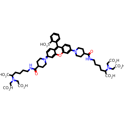 O=C(O)CN(CC(=O)O)C(CCCCNC(=O)C1CCN(c2ccc3c(-c4ccccc4S(=O)(=O)O)c4ccc(=[N+]5CCC(C(=O)NCCCCC(C(=O)O)N(CC(=O)O)CC(=O)O)CC5)cc-4oc3c2)CC1)C(=O)O